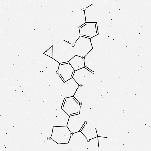 COc1ccc(CN2Cc3c(C4CC4)ncc(Nc4ccc(C5CNCCN5C(=O)OC(C)(C)C)cn4)c3C2=O)c(OC)c1